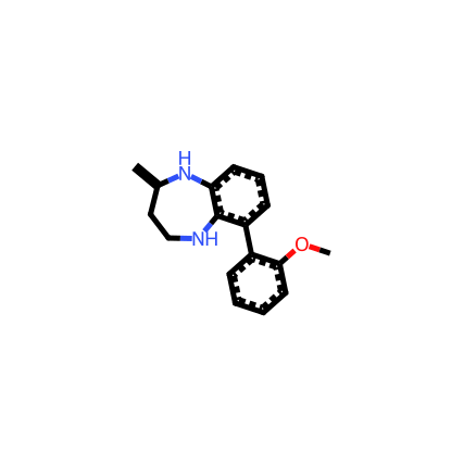 C=C1CCNc2c(cccc2-c2ccccc2OC)N1